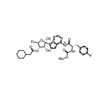 CC[C@H]1O[C@@](C#N)(c2ccc3c(NC(=O)[C@H](Cc4ccc(F)cc4)NC(=O)OC(C)(C)C)ncnn23)[C@H](O)[C@@H]1OC(=O)CC1CCCCC1